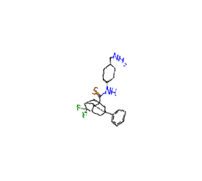 NC[C@H]1CC[C@H](NC(=S)C23CC4CC(c5ccccc5)(CC(C2)C4(F)F)C3)CC1